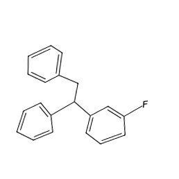 Fc1cccc(C(Cc2ccccc2)c2ccccc2)c1